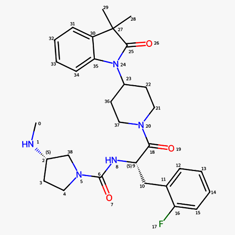 CN[C@H]1CCN(C(=O)N[C@@H](Cc2ccccc2F)C(=O)N2CCC(N3C(=O)C(C)(C)c4ccccc43)CC2)C1